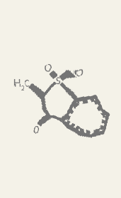 C=C1C(=O)c2ccccc2S1(=O)=O